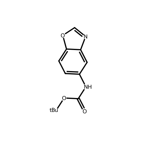 CC(C)(C)OC(=O)Nc1ccc2ocnc2c1